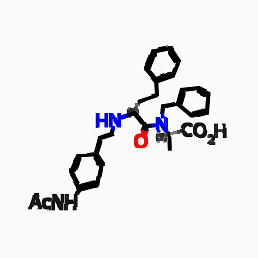 CC(=O)Nc1ccc(CCN[C@H](CCc2ccccc2)C(=O)N(Cc2ccccc2)[C@@H](C)C(=O)O)cc1